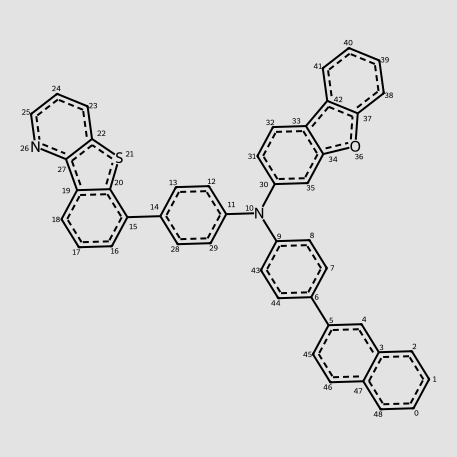 c1ccc2cc(-c3ccc(N(c4ccc(-c5cccc6c5sc5cccnc56)cc4)c4ccc5c(c4)oc4ccccc45)cc3)ccc2c1